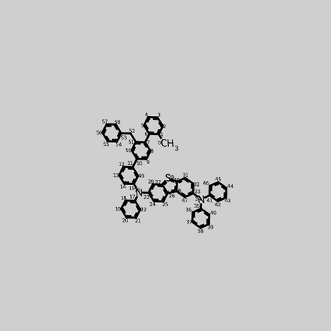 Cc1ccccc1-c1ccc(-c2cccc(N(c3ccccc3)c3ccc4c(c3)sc3ccc(N(c5ccccc5)c5ccccc5)cc34)c2)cc1Cc1ccccc1